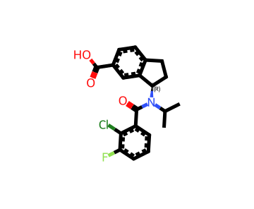 CC(C)N(C(=O)c1cccc(F)c1Cl)[C@@H]1CCc2ccc(C(=O)O)cc21